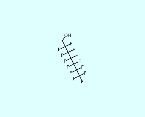 OCC(F)(F)C(F)(F)C(F)(F)C(F)(F)C(F)(F)C(F)(F)I